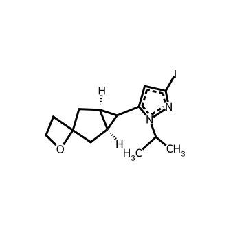 CC(C)n1nc(I)cc1C1[C@H]2CC3(CCO3)C[C@@H]12